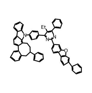 CCc1c(-c2ccccc2)nc(-c2ccc3c(c2)oc2cc(-c4ccccc4)ccc23)nc1-c1ccc(-n2c3ccccc3c3ccc4c(c32)CCC(c2ccccc2)Cc2ccccc2-4)cc1